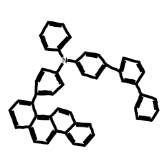 c1ccc(-c2cccc(-c3ccc(N(c4ccccc4)c4ccc(-c5cccc6ccc7c8ccccc8ccc7c56)cc4)cc3)c2)cc1